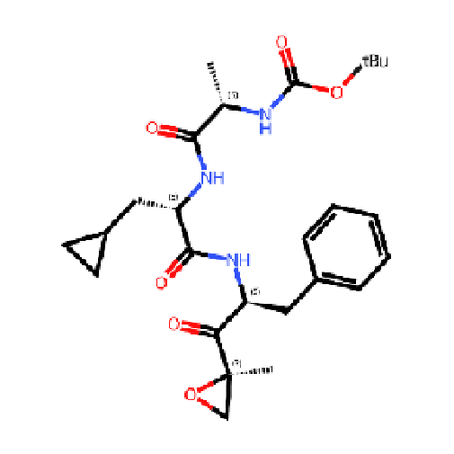 C[C@H](NC(=O)OC(C)(C)C)C(=O)N[C@@H](CC1CC1)C(=O)N[C@@H](Cc1ccccc1)C(=O)[C@@]1(C)CO1